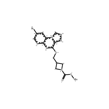 CC(C)(C)OC(=O)N1CC(COc2nc3ncc(Br)cc3n3cnnc23)C1